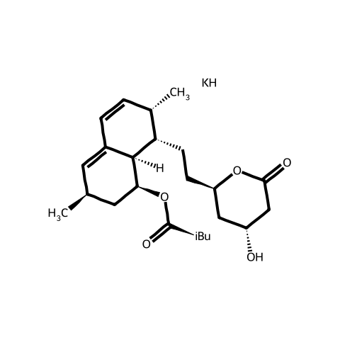 CC[C@H](C)C(=O)O[C@H]1C[C@@H](C)C=C2C=C[C@H](C)[C@H](CC[C@@H]3C[C@@H](O)CC(=O)O3)[C@H]21.[KH]